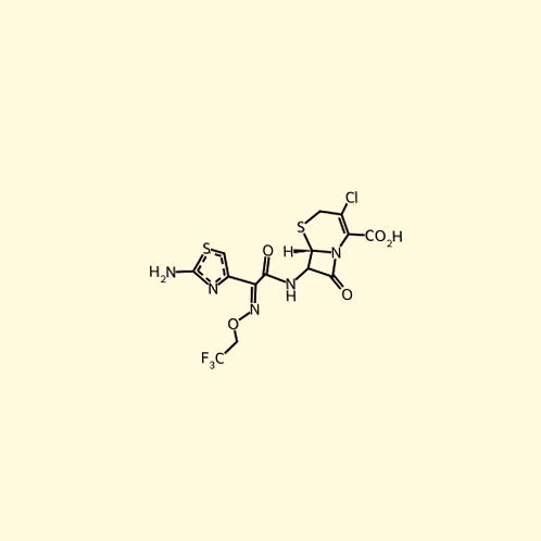 Nc1nc(C(=NOCC(F)(F)F)C(=O)NC2C(=O)N3C(C(=O)O)=C(Cl)CS[C@@H]23)cs1